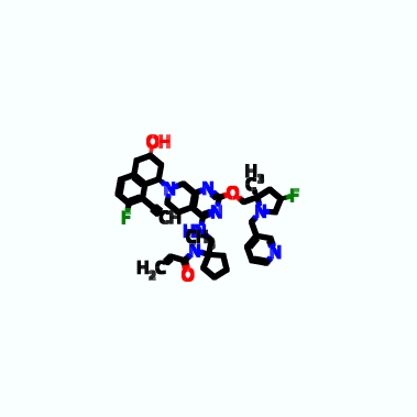 C#Cc1c(F)ccc2c1[C@H](N1CCc3c(nc(OC[C@]4(C)C[C@@H](F)CN4Cc4cccnc4)nc3NCC3(N(C)C(=O)C=C)CCCC3)C1)C[C@@H](O)C2